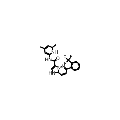 CC1=CC(C)NC(NC(=O)C2=CNC3C=CC(c4ccccc4C(F)(F)F)=NN23)=C1